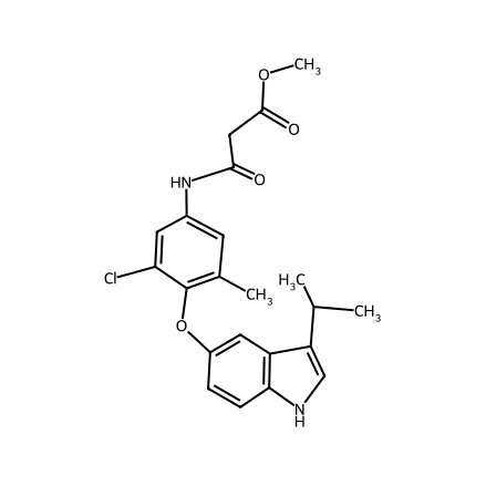 COC(=O)CC(=O)Nc1cc(C)c(Oc2ccc3[nH]cc(C(C)C)c3c2)c(Cl)c1